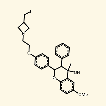 COc1ccc2c(c1)C(C)(O)C(c1ccccc1)C(c1ccc(OCCN3CC(CF)C3)cc1)O2